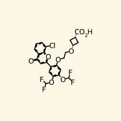 O=c1cc(-c2cc(OC(F)F)c(OC(F)F)cc2OCCO[C@H]2C[C@@H](C(=O)O)C2)oc2c(Cl)cccc12